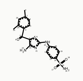 Cc1ccc(C(=O)c2sc(Nc3ccc(S(N)(=O)=O)cc3)nc2N)c(C)c1